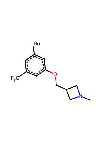 CN1CC(COc2cc(C(C)(C)C)cc(C(F)(F)F)c2)C1